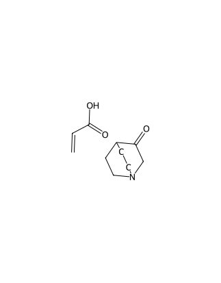 C=CC(=O)O.O=C1CN2CCC1CC2